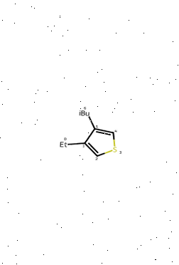 CCc1cscc1C(C)CC